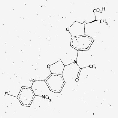 CC(C(=O)O)[C@@H]1COc2cc(N(C(=O)C(F)(F)F)C3COc4c(Nc5cc(F)ccc5[N+](=O)[O-])cccc43)ccc21